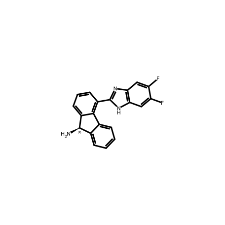 N[C@@H]1c2ccccc2-c2c(-c3nc4cc(F)c(F)cc4[nH]3)cccc21